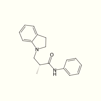 C[C@H](CN1CCc2ccccc21)C(=O)Nc1ccccc1